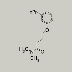 [CH2]CCc1cccc(OCCCC(=O)N(C)C)c1